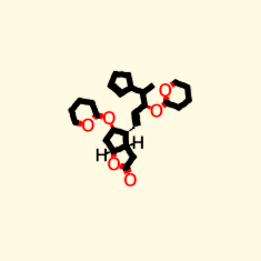 CC(C1C=CCC1)[C@H](/C=C/[C@@H]1[C@H]2CC(=O)O[C@H]2C[C@H]1OC1CCCCO1)OC1CCCCO1